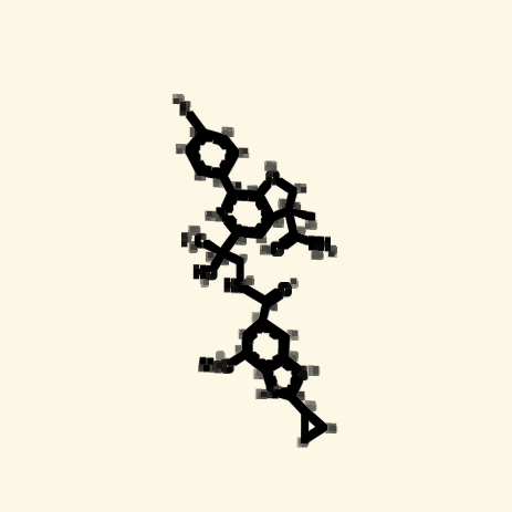 COc1cc(C(=O)NC[C@](O)(c2cc3c(c(-c4ccc(F)cc4)n2)OC[C@]3(C)C(N)=O)C(F)(F)F)cc2sc(C3CC3)nc12